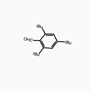 CC(C)(C)c1cc(C(C)(C)C)c(C=O)c(C(C)(C)C)c1